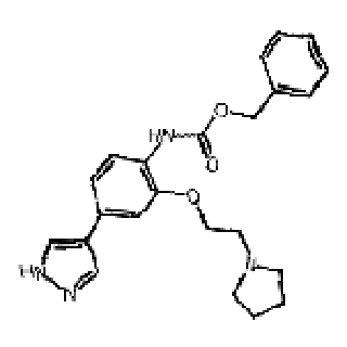 O=C(Nc1ccc(-c2cn[nH]c2)cc1OCCN1CCCC1)OCc1ccccc1